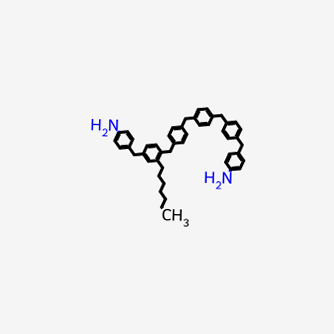 CCCCCCCc1cc(Cc2ccc(N)cc2)ccc1Cc1ccc(Cc2ccc(Cc3ccc(Cc4ccc(N)cc4)cc3)cc2)cc1